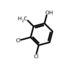 [CH2]c1c(O)ccc(Cl)c1Cl